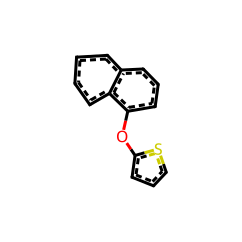 c1csc(Oc2cccc3ccccc23)c1